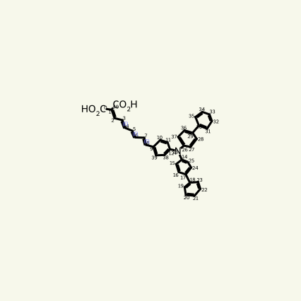 O=C(O)C(=C/C=C/C=C/C=C/c1ccc(N(c2ccc(-c3ccccc3)cc2)c2ccc(-c3ccccc3)cc2)cc1)C(=O)O